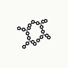 c1ccc(-c2ccc(N(c3ccc(-c4ccc(N(c5ccc(-c6cccc(-c7ccc8cc(N(c9ccc(-c%10ccccc%10)cc9)c9ccc(-c%10ccc(N(c%11ccc(-c%12ccccc%12)cc%11)c%11ccc%12ccccc%12c%11)cc%10)cc9)ccc8c7)c6)cc5)c5ccc6ccccc6c5)cc4)cc3)c3ccc4ccccc4c3)cc2)cc1